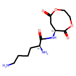 NCCCC[C@H](N)C(=O)N[C@H]1CC(=O)OCCOC1=O